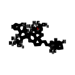 Cn1cncc1C1NC(OC(C)(C)C)=C2C(Oc3ccc(CCB4O[C@@H]5C[C@@H]6CC(C6(C)C)[C@]5(C)O4)c(OC(=O)OC(C)(C)C)c3C(=O)OC(C)(C)C)CN2C1=O